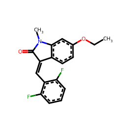 CCOc1ccc2c(c1)N(C)C(=O)/C2=C/c1c(F)cccc1F